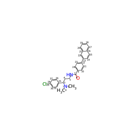 CN(C)C(CCNC(=O)c1ccc(-c2ccc3ccccc3c2)cc1)c1ccc(Cl)cc1